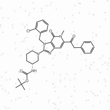 Cn1c(C(=O)Cc2ccccc2)cc2nc(N3CCC[C@@H](NC(=O)OC(C)(C)C)C3)n(Cc3ccccc3Cl)c2c1=O